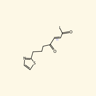 O=C(I)/C=C/C(=O)CCCc1nccs1